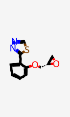 c1ccc(-c2nncs2)c(OC[C@@H]2CO2)c1